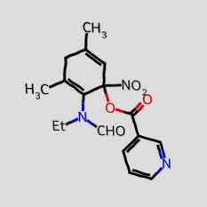 CCN(C=O)C1=C(C)CC(C)=CC1(OC(=O)c1cccnc1)[N+](=O)[O-]